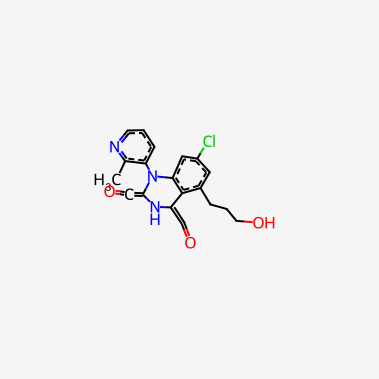 Cc1ncccc1N1C(=C=O)NC(=C=O)c2c(CCCO)cc(Cl)cc21